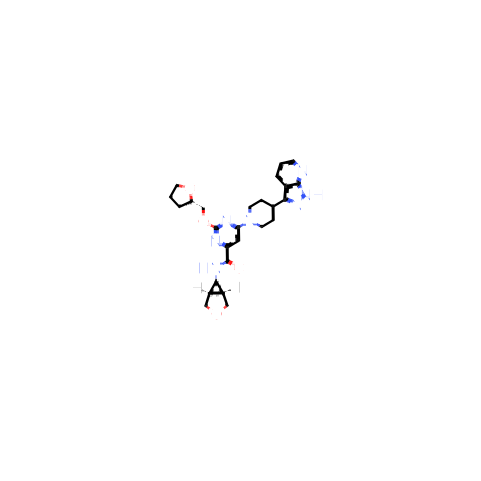 O=C(N[C@H]1[C@@H]2COC[C@@H]21)c1cc(N2CCC(c3n[nH]c4ncccc34)CC2)nc(OC[C@H]2CCCO2)n1